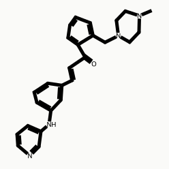 CN1CCN(Cc2ccccc2C(=O)C=Cc2cccc(Nc3cccnc3)c2)CC1